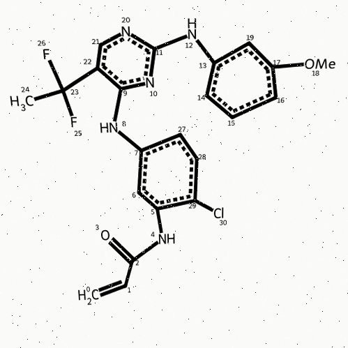 C=CC(=O)Nc1cc(Nc2nc(Nc3cccc(OC)c3)ncc2C(C)(F)F)ccc1Cl